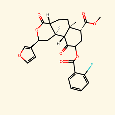 COC(=O)[C@@H]1CC(OC(=O)c2ccccc2F)C(=O)[C@H]2[C@@]1(C)CC[C@H]1C(=O)O[C@H](c3ccoc3)C[C@]21C